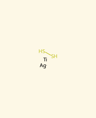 SS.[Ag].[Ti]